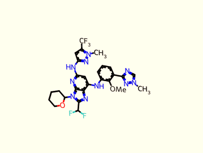 COc1c(Nc2cc(Nc3cc(C(F)(F)F)n(C)n3)nc3c2nc(C(F)F)n3C2CCCCO2)cccc1-c1ncn(C)n1